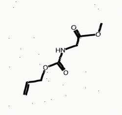 C=CCOC(=O)NCC(=O)OC